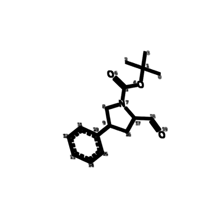 CC(C)(C)OC(=O)N1CC(c2ccccc2)CC1C=O